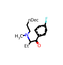 CCCCCCCCCCCCN(C)C(CC)C(=O)c1ccc(F)cc1